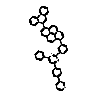 c1ccc(-c2cc(-c3ccc(-c4cccnc4)cc3)nc(-c3cccc(-c4ccc5ccc6c(-c7cc8ccccc8c8ccccc78)ccc7ccc4c5c76)c3)n2)cc1